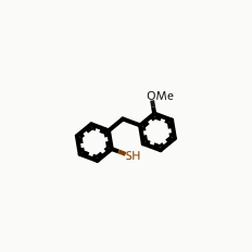 COc1ccccc1Cc1ccccc1S